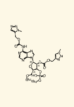 Cn1cc(COC(=O)O[C@H]2C(OP(=O)(O)OC(C)(C)C)[C@@H](COC(C)(C)C)O[C@H]2n2cnc3c(NC(=O)OCc4cnnn4C)ncnc32)nn1